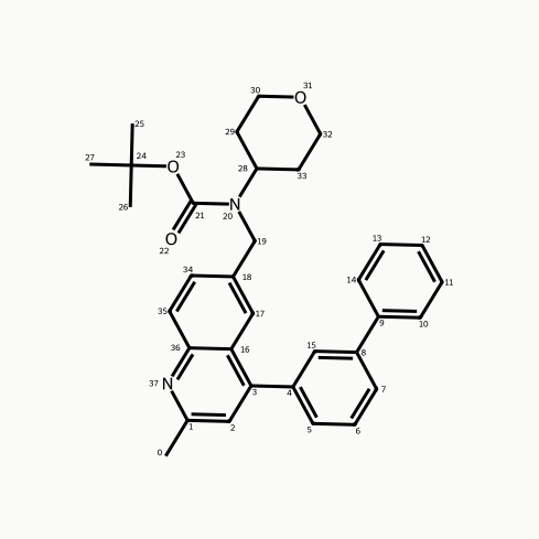 Cc1cc(-c2cccc(-c3ccccc3)c2)c2cc(CN(C(=O)OC(C)(C)C)C3CCOCC3)ccc2n1